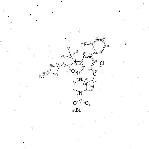 CC(C)(C)OC(=O)N1CCN2C(=O)c3c(N4CC(N5CC(C#N)C5)CC4(C)C)nc(-c4ccccc4F)c(Cl)c3OC[C@H]2C1